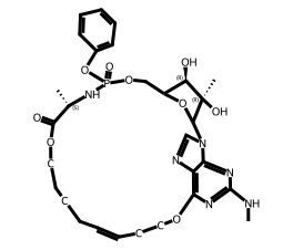 CNc1nc2c3ncn(c3n1)C1OC(COP(=O)(Oc3ccccc3)N[C@@H](C)C(=O)OCCCCC=CCCO2)[C@@H](O)[C@@]1(C)O